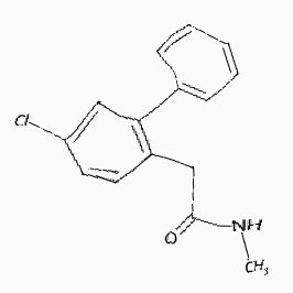 CNC(=O)Cc1ccc(Cl)cc1-c1ccccc1